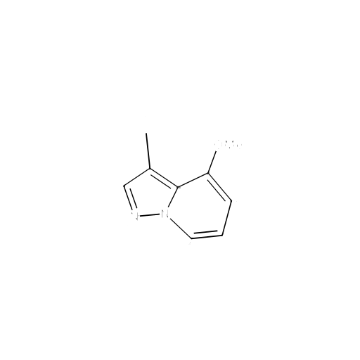 COc1cccn2ncc(I)c12